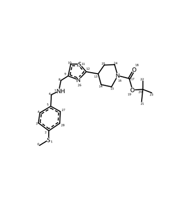 CSc1ccc(CNCc2csc(C3CCN(C(=O)OC(C)(C)C)CC3)n2)cc1